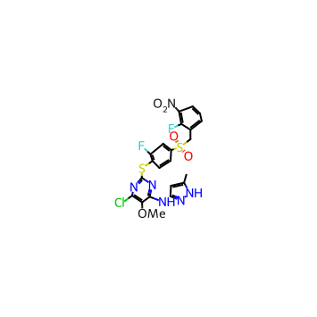 COc1c(Cl)nc(Sc2ccc(S(=O)(=O)Cc3cccc([N+](=O)[O-])c3F)cc2F)nc1Nc1cc(C)[nH]n1